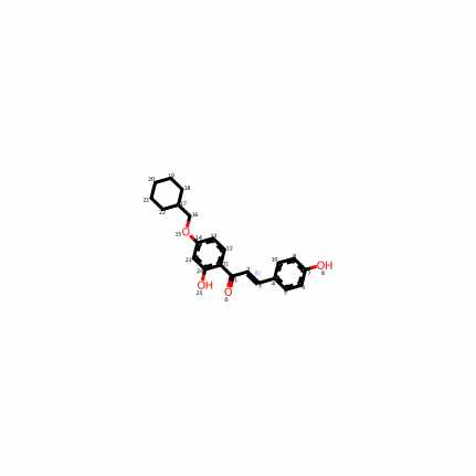 O=C(/C=C/c1ccc(O)cc1)c1ccc(OCC2CCCCC2)cc1O